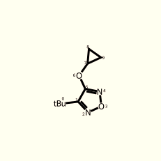 CC(C)(C)c1nonc1OC1CC1